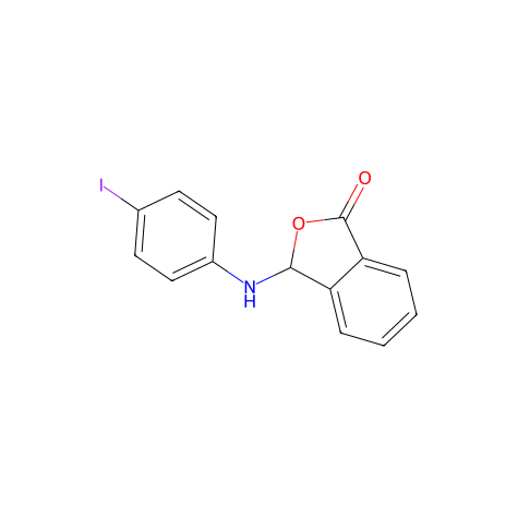 O=C1OC(Nc2ccc(I)cc2)c2ccccc21